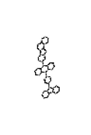 c1ccc2c(c1)ccc1c3ccc(-c4c5ccccc5c(-c5ccc(-n6c7ccccc7c7ccccc76)cc5)c5ccccc45)cc3sc21